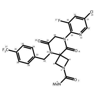 CNC(=O)N1CC2(C1)C(=O)N(c1ncc(Cl)cc1F)CC(=O)N2Cc1ccc(C(F)(F)F)cc1